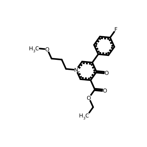 CCOC(=O)c1cn(CCCOC)cc(-c2ccc(F)cc2)c1=O